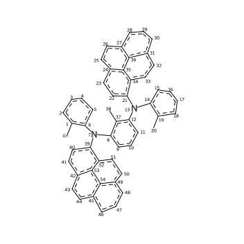 Cc1ccccc1N(c1cccc(N(c2ccccc2C)c2ccc3ccc4cccc5ccc2c3c45)c1C)c1ccc2ccc3cccc4ccc1c2c34